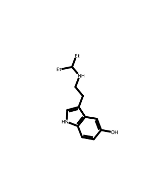 CCC(CC)NCCc1c[nH]c2ccc(O)cc12